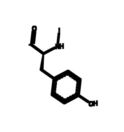 O=[C][C@H](Cc1ccc(O)cc1)NI